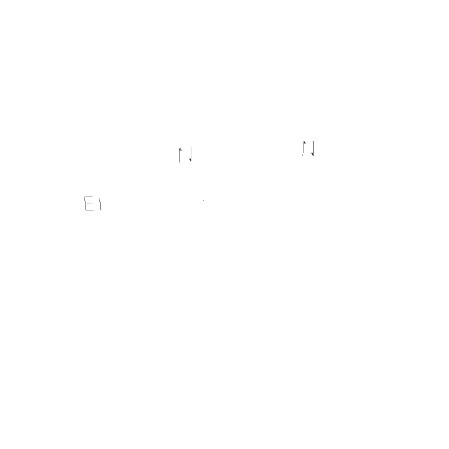 C=N/C=N\c1ccccc1CC